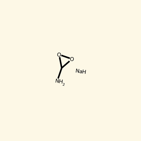 NC1OO1.[NaH]